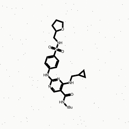 CC(C)(C)NC(=O)c1cnc(Nc2ccc(S(=O)(=O)NCC3CCCO3)cc2)nc1NCC1CC1